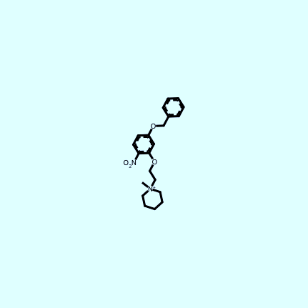 C[N+]1(CCOc2cc(OCc3ccccc3)ccc2[N+](=O)[O-])CCCCC1